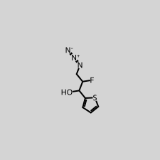 [N-]=[N+]=NCC(F)C(O)c1cccs1